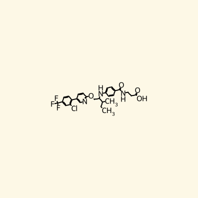 CCC(C)C(COc1ccc(-c2ccc(C(F)(F)F)cc2Cl)cn1)Nc1ccc(C(=O)NCCC(=O)O)cc1